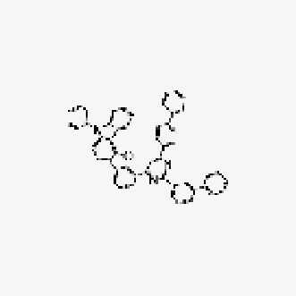 c1ccc(-c2ccc(-c3cc(-c4cccc5c4oc4c5ccc5c4c4ccccc4n5-c4ccccc4)nc(-c4cccc(-c5ccccc5)c4)n3)cc2)cc1